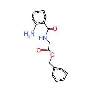 Nc1ccccc1C(=O)NCC(=O)OCc1ccccc1